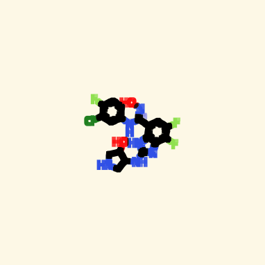 O/N=C(\Nc1ccc(F)c(Cl)c1)c1cc(F)c(F)c2nc(NC3CNCC3O)[nH]c12